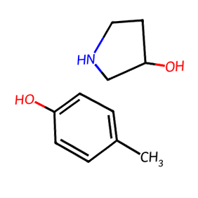 Cc1ccc(O)cc1.OC1CCNC1